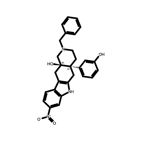 O=[N+]([O-])c1ccc2c3c([nH]c2c1)C[C@]1(c2cccc(O)c2)CCN(Cc2ccccc2)C[C@@]1(O)C3